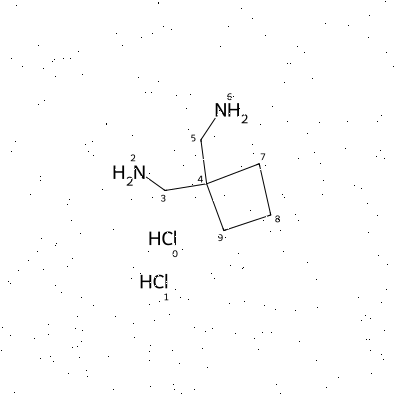 Cl.Cl.NCC1(CN)CCC1